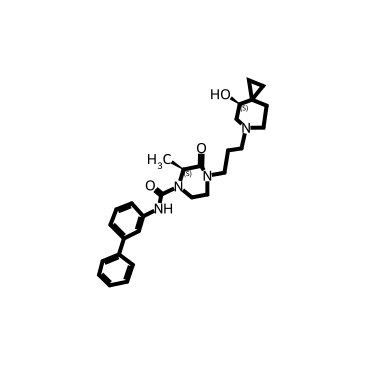 C[C@H]1C(=O)N(CCCN2CCC3(CC3)[C@H](O)C2)CCN1C(=O)Nc1cccc(-c2ccccc2)c1